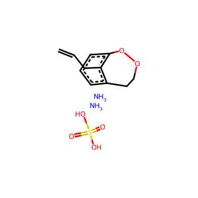 C=CCc1c2cccc1OOCC2.N.N.O=S(=O)(O)O